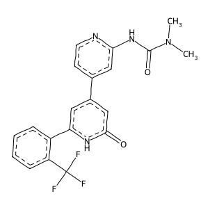 CN(C)C(=O)Nc1cc(-c2cc(-c3ccccc3C(F)(F)F)[nH]c(=O)c2)ccn1